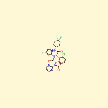 O=C(NC1CCC(F)(F)CC1)[C@H](c1ccccc1Cl)N(C(=O)[C@@H]1COC(=O)N1c1ncccn1)c1cccc(F)c1